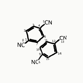 N#Cc1ccc(C#N)cc1.N#Cc1ccc(C#N)cc1